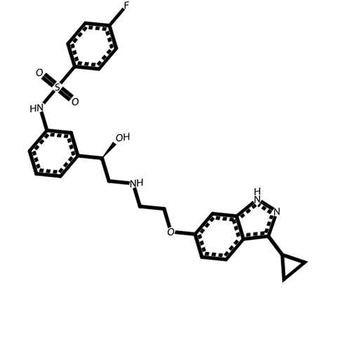 O=S(=O)(Nc1cccc([C@@H](O)CNCCOc2ccc3c(C4CC4)n[nH]c3c2)c1)c1ccc(F)cc1